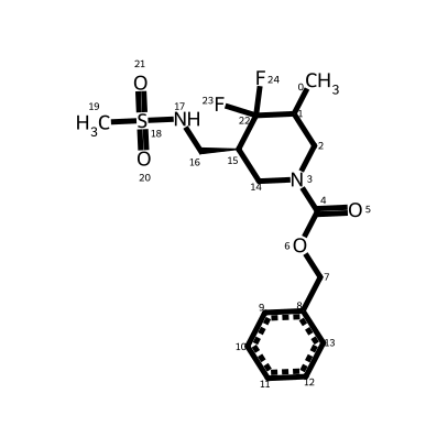 CC1CN(C(=O)OCc2ccccc2)C[C@@H](CNS(C)(=O)=O)C1(F)F